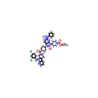 CC(C)(C)OC(=O)N1CCC(n2c(=O)n([C@H]3CC[C@H](C(=O)N4CCc5c(n(Cc6ccc(F)cc6F)c6ncccc56)C4)CC3)c3cnc(Nc4ccccc4)nc32)CC1